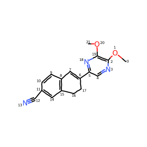 COc1ncc(C2=Cc3ccc(C#N)cc3CC2)nc1OC